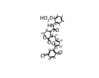 O=C(O)c1ccccc1NC(=O)[C@@H]1CCOC(=O)N1Cc1ccc(-c2cc(Cl)ccc2Cl)o1